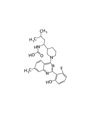 Cc1ccc2c(N3CCCC(C(CC(C)C)NC(=O)O)C3)nc(-c3c(O)cccc3F)nc2c1